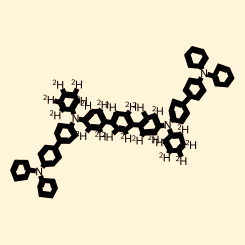 [2H]c1c([2H])c([2H])c(N(c2ccc(-c3ccc(N(c4ccccc4)c4ccccc4)cc3)cc2)c2c([2H])c([2H])c(-c3c([2H])c([2H])c(-c4c([2H])c([2H])c(N(c5ccc(-c6ccc(N(c7ccccc7)c7ccccc7)cc6)cc5)c5c([2H])c([2H])c([2H])c([2H])c5[2H])c([2H])c4[2H])c([2H])c3[2H])c([2H])c2[2H])c([2H])c1[2H]